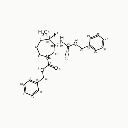 C[C@@]1(F)CCCN(C(=O)OCc2ccccc2)C[C@H]1NC(=O)OCc1ccccc1